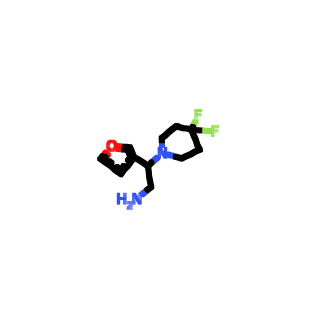 NCC(c1ccoc1)N1CCC(F)(F)CC1